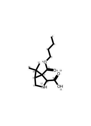 CCCCOC(=O)C12C(C(=O)O)NCC1C2(C)C